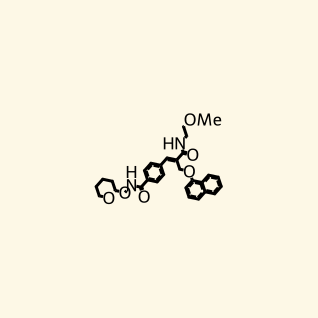 COCCNC(=O)/C(=C/c1ccc(C(=O)NOC2CCCCO2)cc1)COc1cccc2ccccc12